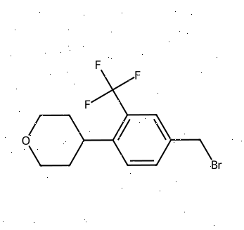 FC(F)(F)c1cc(CBr)ccc1C1CCOCC1